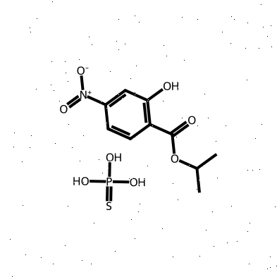 CC(C)OC(=O)c1ccc([N+](=O)[O-])cc1O.OP(O)(O)=S